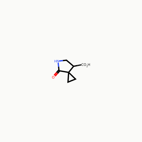 O=C(O)C1CNC(=O)C12CC2